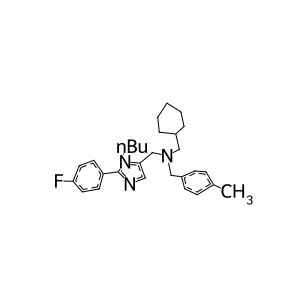 CCCCn1c(CN(Cc2ccc(C)cc2)CC2CCCCC2)cnc1-c1ccc(F)cc1